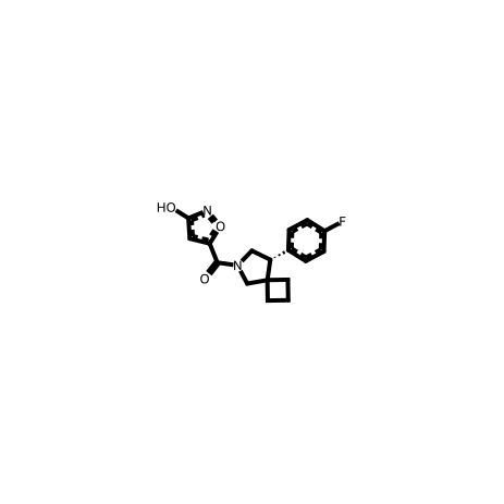 O=C(c1cc(O)no1)N1C[C@H](c2ccc(F)cc2)C2(CCC2)C1